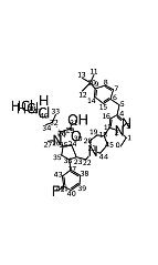 CCn1nc(Cc2ccc(C(C)(C)C)cc2)cc1C1CCN(CC2CC(N(C)[C@@H](C(=O)O)C(C)C)CC2c2cccc(F)c2)CC1.Cl.Cl.Cl